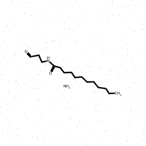 CCCCCCCCCCCC(=O)NCCC=O.N